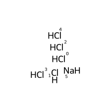 Cl.Cl.Cl.Cl.Cl.[NaH]